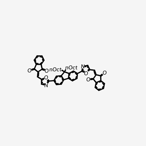 CCCCCCCCC1(CCCCCCCC)c2cc(-c3ncc(C=C4C(=O)c5ccccc5C4=O)o3)ccc2-c2ccc(-c3ncc(C=C4C(=O)c5ccccc5C4=O)o3)cc21